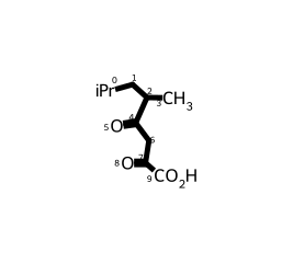 CC(C)CC(C)C(=O)CC(=O)C(=O)O